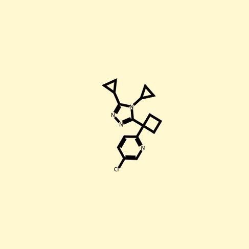 Clc1ccc(C2(c3nnc(C4CC4)n3C3CC3)CCC2)nc1